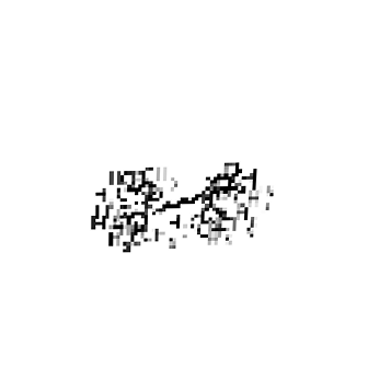 CC(C)C1OP(N(CCCCCCN(C2CC(C)(C)NC(C)(C)C2)P2OCC(C)(C)C(C(C)C)O2)C2CC(C)(C)NC(C)(C)C2)OCC1(C)C